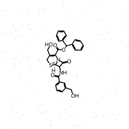 O=C(OC(c1ccccc1)c1ccccc1)C1=C(CO)CS[C@@H]2C(NC(=O)c3cccc(CO)c3)C(=O)N12